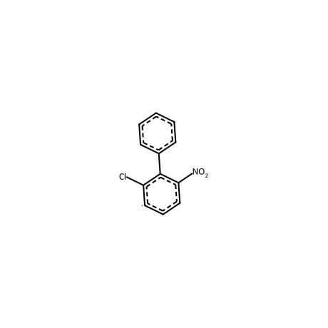 O=[N+]([O-])c1cc[c]c(Cl)c1-c1ccccc1